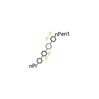 CCCCCc1ccc(C2CCC(c3ccc(-c4ccc(CCC)cc4)c(F)c3F)CC2)c(F)c1F